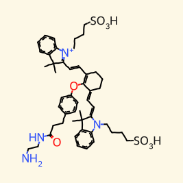 CC1(C)C(/C=C/C2=C(Oc3ccc(CCC(=O)NCCN)cc3)C(=C/C=C3/N(CCCCS(=O)(=O)O)c4ccccc4C3(C)C)/CCC2)=[N+](CCCCS(=O)(=O)O)c2ccccc21